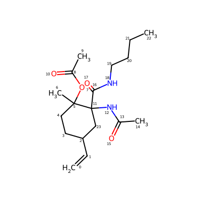 C=CC1CCC(C)(OC(C)=O)C(NC(C)=O)(C(=O)NCCCC)C1